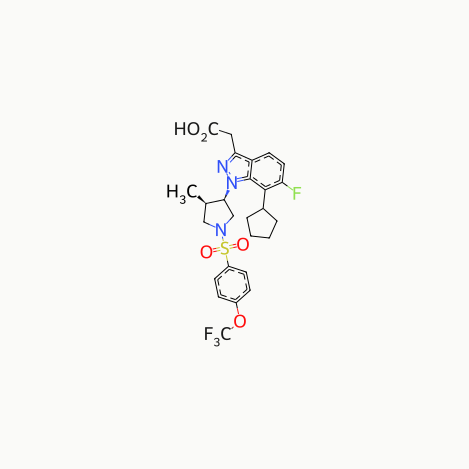 C[C@@H]1CN(S(=O)(=O)c2ccc(OC(F)(F)F)cc2)C[C@@H]1n1nc(CC(=O)O)c2ccc(F)c(C3CCCC3)c21